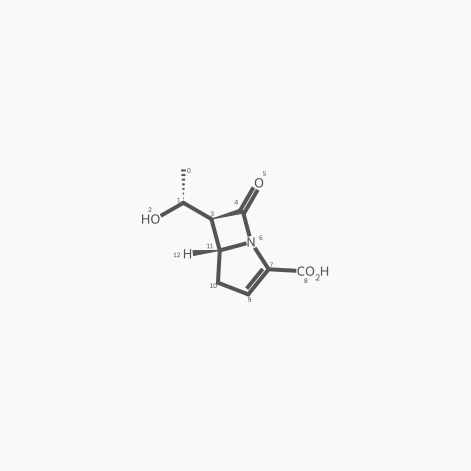 C[C@@H](O)[C@H]1C(=O)N2C(C(=O)O)=CC[C@H]12